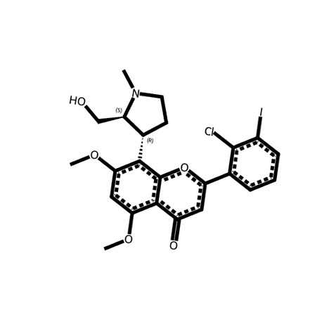 COc1cc(OC)c2c(=O)cc(-c3cccc(I)c3Cl)oc2c1[C@H]1CCN(C)[C@@H]1CO